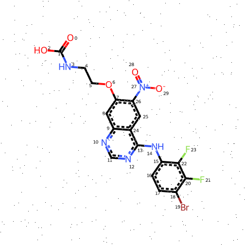 O=C(O)NCCOc1cc2ncnc(Nc3ccc(Br)c(F)c3F)c2cc1[N+](=O)[O-]